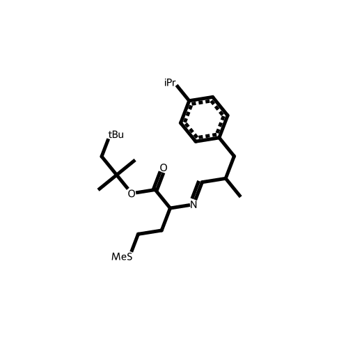 CSCCC(/N=C/C(C)Cc1ccc(C(C)C)cc1)C(=O)OC(C)(C)CC(C)(C)C